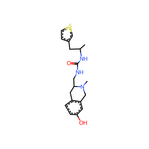 CC(Cc1ccsc1)NC(=O)NCC1Cc2ccc(O)cc2CN1C